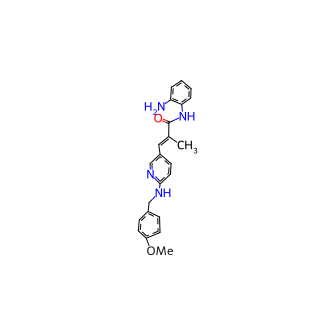 COc1ccc(CNc2ccc(/C=C(\C)C(=O)Nc3ccccc3N)cn2)cc1